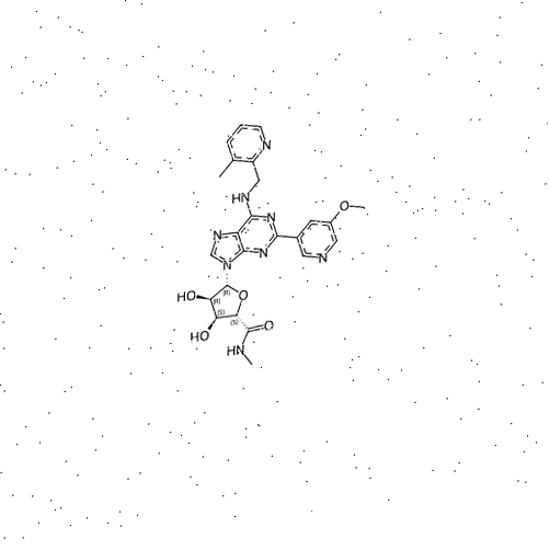 CNC(=O)[C@H]1O[C@@H](n2cnc3c(NCc4ncccc4C)nc(-c4cncc(OC)c4)nc32)[C@H](O)[C@@H]1O